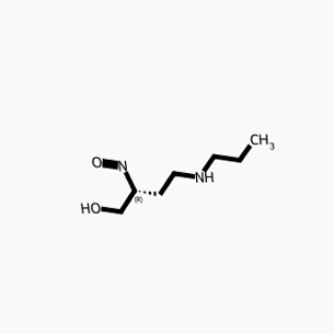 CCCNCC[C@H](CO)N=O